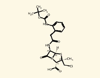 CC(C)(C)OC(=O)Nc1ccccc1CC(=O)N[C@@H]1C(=O)N2[C@@H]1S[C@@](C)(CCl)[C@@H]2C(=O)O